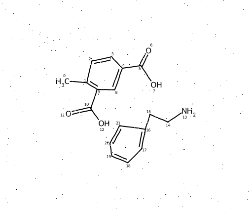 Cc1ccc(C(=O)O)cc1C(=O)O.NCCc1ccccc1